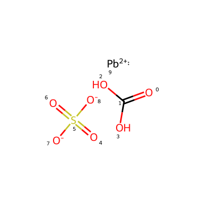 O=C(O)O.O=S(=O)([O-])[O-].[Pb+2]